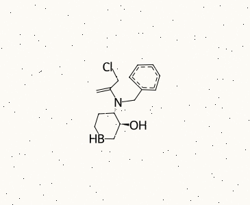 C=C(CCl)N(Cc1ccccc1)[C@H]1CCBC[C@@H]1O